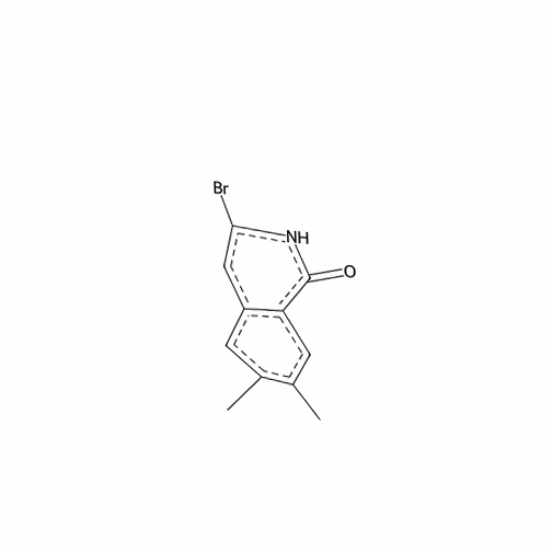 Cc1cc2cc(Br)[nH]c(=O)c2cc1C